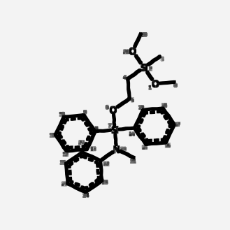 CO[Si](C)(CCO[Si](c1ccccc1)(c1ccccc1)N(C)c1ccccc1)OC